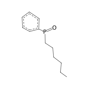 CCCCCC[P](=O)c1ccccc1